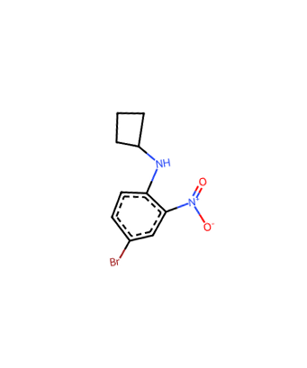 O=[N+]([O-])c1cc(Br)ccc1NC1CCC1